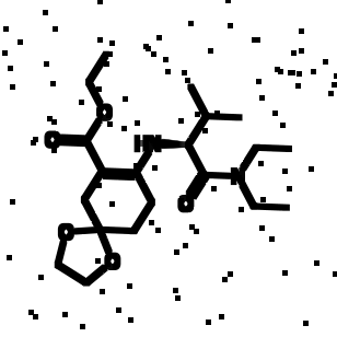 CCOC(=O)C1=C(N[C@H](C(=O)N(CC)CC)C(C)C)CCC2(C1)OCCO2